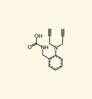 C#CCN(CC#C)c1ccccc1CNC(=O)O